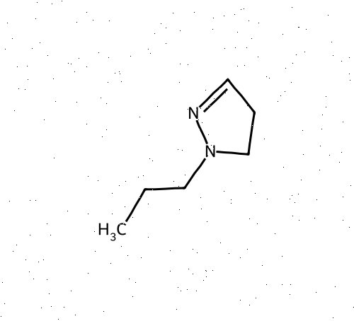 CCCN1CCC=N1